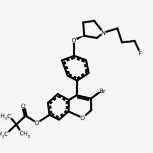 CC(C)(C)C(=O)Oc1ccc2c(c1)OCC(Br)=C2c1ccc(O[C@H]2CCN(CCCF)C2)cc1